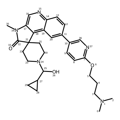 CN(C)CCCOc1ccc(-c2ccc3ncc4c(c3c2)C2(CCN(C(O)C3CC3)CC2)C(=O)N4C)cn1